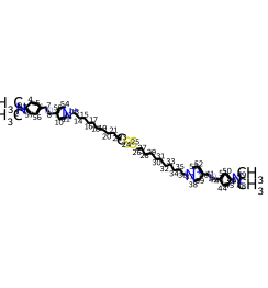 CN(C)c1ccc(/C=C/c2cc[n+](CCCCCCCCCCCSSCCCCCCCCCCC[n+]3ccc(/C=C/c4ccc(N(C)C)cc4)cc3)cc2)cc1